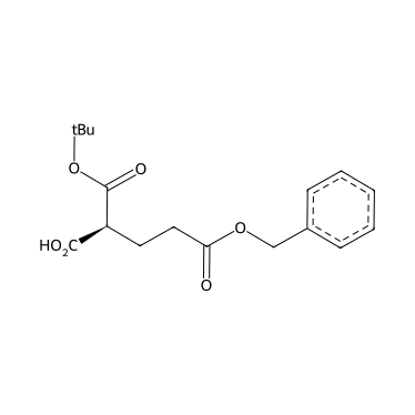 CC(C)(C)OC(=O)[C@@H](CCC(=O)OCc1ccccc1)C(=O)O